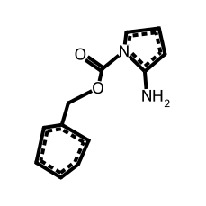 Nc1cccn1C(=O)OCc1ccccc1